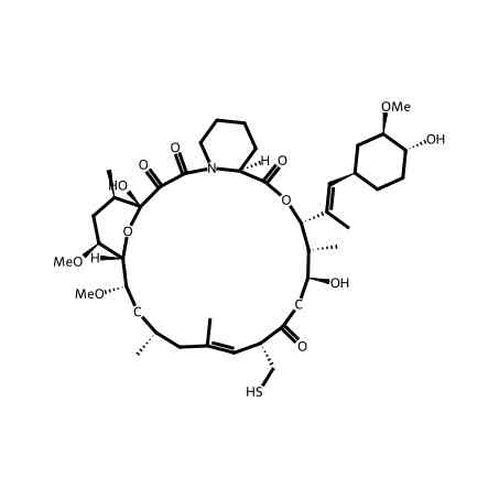 CO[C@H]1C[C@@H](C)C/C(C)=C/[C@@H](CS)C(=O)C[C@H](O)[C@@H](C)[C@@H](/C(C)=C/[C@@H]2CC[C@@H](O)[C@H](OC)C2)OC(=O)[C@@H]2CCCCN2C(=O)C(=O)[C@]2(O)O[C@H]1[C@@H](OC)C[C@H]2C